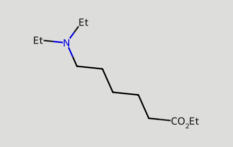 CCOC(=O)CCCCCN(CC)CC